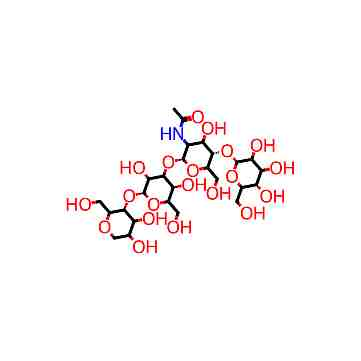 CC(=O)NC1C(O)[C@H](O[C@@H]2OC(CO)[C@H](O)C(O)C2O)C(CO)O[C@H]1OC1C(O)[C@H](O[C@@H]2C(CO)OCC(O)C2O)OC(CO)[C@@H]1O